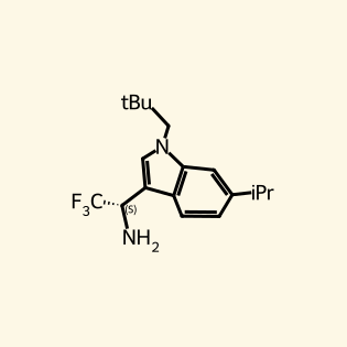 CC(C)c1ccc2c([C@H](N)C(F)(F)F)cn(CC(C)(C)C)c2c1